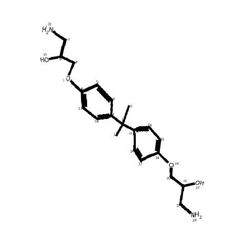 CC(C)(c1ccc(OCC(O)CN)cc1)c1ccc(OCC(O)CN)cc1